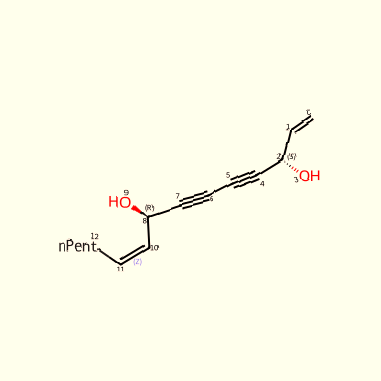 C=C[C@H](O)C#CC#C[C@H](O)/C=C\CCCCC